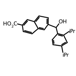 CC(C)c1ccc(C(O)c2ccc3cc(C(=O)O)ccc3c2)c(C(C)C)c1